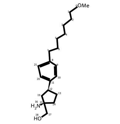 COCCCCCCCc1ccc([C@H]2CC[C@](N)(CO)C2)cc1